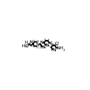 Nc1nccc(Sc2ccc3nc(N4CCC(N)(CCO)CC4)cnc3n2)c1Cl